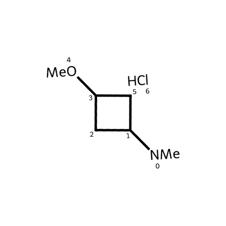 CNC1CC(OC)C1.Cl